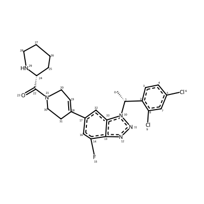 C[C@H](c1ccc(Cl)cc1Cl)n1nnc2c(F)cc(C3=CCN(C(=O)[C@H]4CCCCN4)CC3)cc21